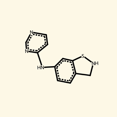 c1cc(Nc2ccc3c(c2)SNC3)ncn1